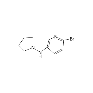 Brc1ccc(NN2CCCC2)cn1